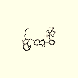 CCCCc1nc2cccnc2n1Cc1ccc2oc(-c3ccccc3NS(=O)(=O)C(F)(F)F)cc2c1